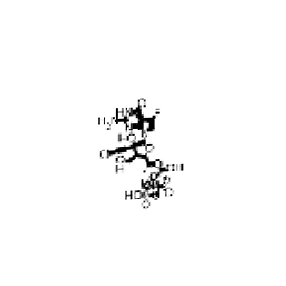 C[C@@H](OP(=O)(O)OP(=O)(O)OP(=O)(O)O)[C@H]1O[C@@H](n2cc(F)c3c(=O)[nH]c(N)nc32)C(O)(C#CCl)C1CO